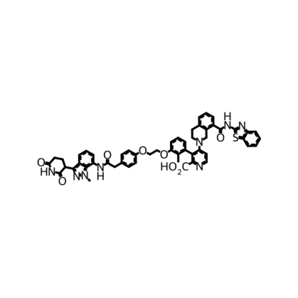 Cc1c(OCCOc2ccc(CC(=O)Nc3cccc4c(C5CCC(=O)NC5=O)nn(C)c34)cc2)cccc1-c1c(N2CCc3cccc(C(=O)Nc4nc5ccccc5s4)c3C2)ccnc1C(=O)O